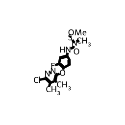 COSN(C)C(=O)Nc1ccc(Oc2nnc(Cl)c(C)c2C)c(F)c1